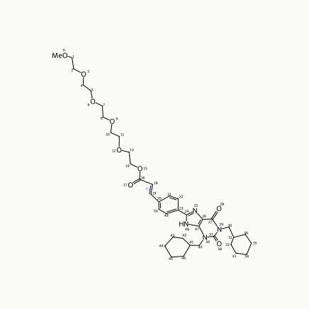 COCCOCCOCCOCCOCCOC(=O)/C=C/c1ccc(-c2nc3c(=O)n(CC4CCCCC4)c(=O)n(CC4CCCCC4)c3[nH]2)cc1